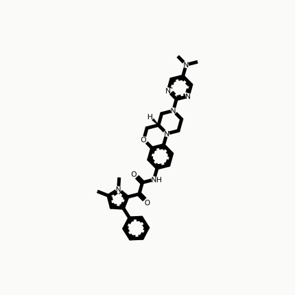 Cc1cc(-c2ccccc2)c(C(=O)C(=O)Nc2ccc3c(c2)OC[C@@H]2CN(c4ncc(N(C)C)cn4)CCN32)n1C